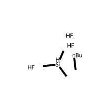 CCCCC.C[SiH](C)C.F.F.F